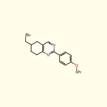 CCCOc1ccc(-c2ncc3c(n2)CCC(CC(C)CC)C3)cc1